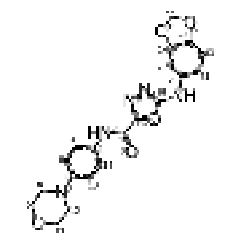 O=C(Nc1ccc(N2CCOCC2)cc1)c1nnc(Nc2ccc3c(c2)OCO3)o1